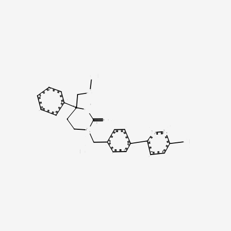 COCC1(c2ccccc2)CCN([C@@H](C)c2ccc(-c3ccc(C)nn3)cc2)C(=O)O1